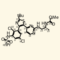 CCCS(=O)(=O)Nc1cc(Cl)cc(-c2nc(C(C)(C)C)sc2-c2ccnc(NC[C@H](C)NC(=O)OC)n2)c1Cl